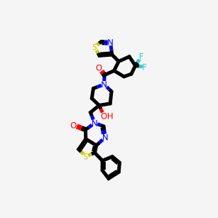 O=C(C1CCC(F)(F)CC1c1cscn1)N1CCC(O)(Cn2cnc3c(-c4ccccc4)scc3c2=O)CC1